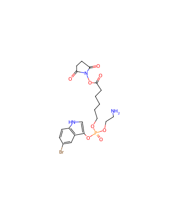 NCCOP(=O)(OCCCCCC(=O)ON1C(=O)CCC1=O)Oc1c[nH]c2ccc(Br)cc12